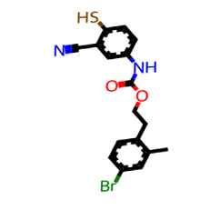 Cc1cc(Br)ccc1CCOC(=O)Nc1ccc(S)c(C#N)c1